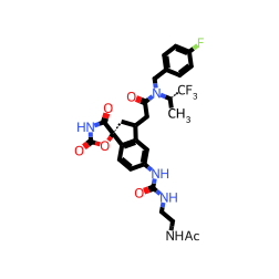 CC(=O)NCCNC(=O)Nc1ccc2c(c1)C(CC(=O)N(Cc1ccc(F)cc1)[C@@H](C)C(F)(F)F)C[C@@]21OC(=O)NC1=O